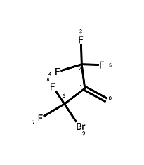 C=C(C(F)(F)F)C(F)(F)Br